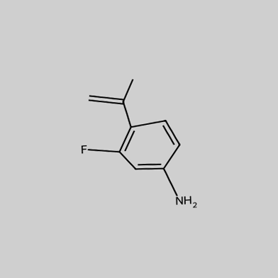 C=C(C)c1ccc(N)cc1F